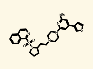 CCCCc1cc(-c2ccsc2)cc(N2CCN(CCC3CCCN3S(=O)(=O)c3nccc4ccccc34)CC2)n1